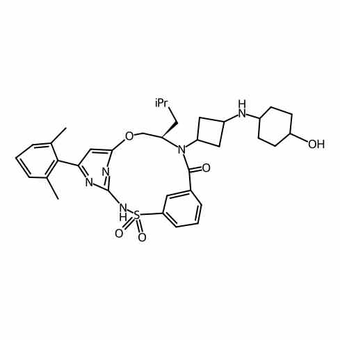 Cc1cccc(C)c1-c1cc2nc(n1)NS(=O)(=O)c1cccc(c1)C(=O)N(C1CC(NC3CCC(O)CC3)C1)[C@H](CC(C)C)CO2